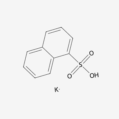 O=S(=O)(O)c1cccc2ccccc12.[K]